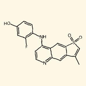 CC1=CS(=O)(=O)c2cc3c(Nc4ccc(O)cc4F)ccnc3cc21